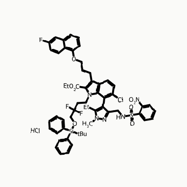 CCOC(=O)c1c(CCCOc2cccc3cc(F)ccc23)c2ccc(Cl)c(-c3c(CNS(=O)(=O)c4ccccc4[N+](=O)[O-])nn(C)c3CC)c2n1CCC(F)(F)CO[Si](c1ccccc1)(c1ccccc1)C(C)(C)C.Cl